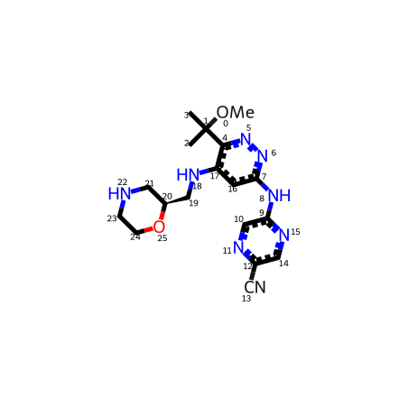 COC(C)(C)c1nnc(Nc2cnc(C#N)cn2)cc1NC[C@@H]1CNCCO1